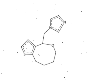 c1cn(CC2OCCCCc3sccc32)cn1